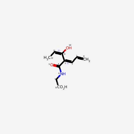 C=C/C=C(C(=O)NCC(=O)O)\C(O)=C/C